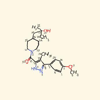 COc1ccc(-c2n[nH]c(C(=O)N3CCC(CC(C)(C)O)CC3)c2C)cc1